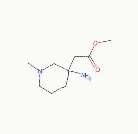 COC(=O)CC1(N)CCCN(C)C1